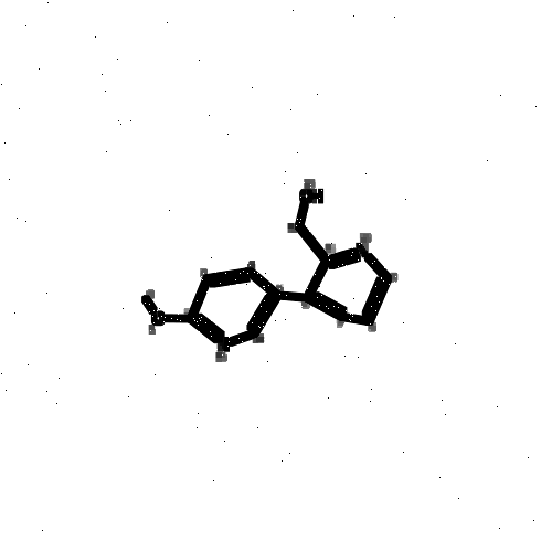 COc1ccc(-c2cccnc2CO)cn1